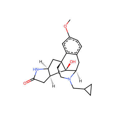 COc1ccc2c(c1)[C@]13CCN(CC4CC4)[C@H](C2)[C@]1(O)C[C@H]1CC(=O)N[C@H]1C3